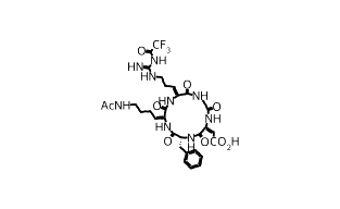 CC(=O)NCCC/C=C1/NC(=O)[C@@H](Cc2ccccc2)NC(=O)/C(=C\C(=O)O)NC(=O)CNC(=O)/C(=C/CCNC(=N)NC(=O)C(F)(F)F)NC1=O